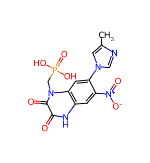 Cc1cn(-c2cc3c(cc2[N+](=O)[O-])[nH]c(=O)c(=O)n3CP(=O)(O)O)cn1